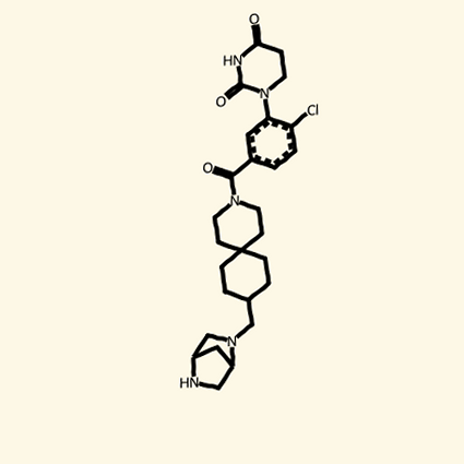 O=C1CCN(c2cc(C(=O)N3CCC4(CCC(CN5CC6CC5CN6)CC4)CC3)ccc2Cl)C(=O)N1